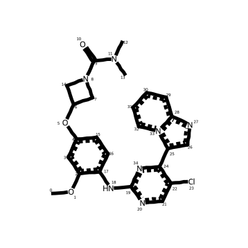 COc1cc(OC2CN(C(=O)N(C)C)C2)ccc1Nc1ncc(Cl)c(-c2cnc3ccccn23)n1